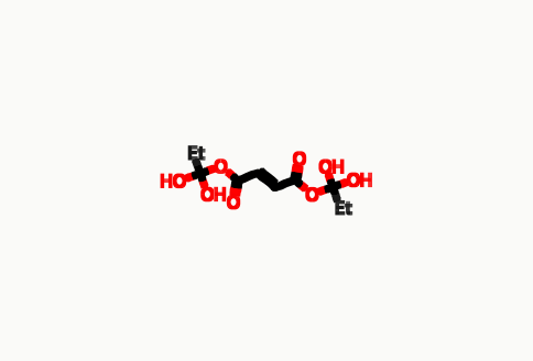 CCC(O)(O)OC(=O)/C=C/C(=O)OC(O)(O)CC